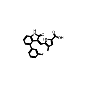 Cc1cc(C(=O)O)[nH]c1C=C1C(=O)Nc2cccc(-c3cccc(F)c3)c21